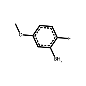 Bc1cc(OC)ccc1F